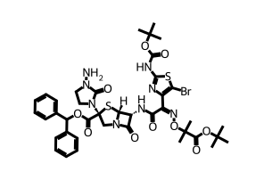 CC(C)(C)OC(=O)Nc1nc(/C(=N/OC(C)(C)C(=O)OC(C)(C)C)C(=O)N[C@@H]2C(=O)N3C[C@@](C(=O)OC(c4ccccc4)c4ccccc4)(N4CCN(N)C4=O)S[C@H]23)c(Br)s1